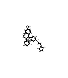 Oc1ccc2c(c1)OCC(c1ccccc1)C2c1ccc(OCCN2CCCC2)cc1